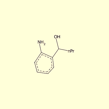 CCCC(O)c1ccccc1N